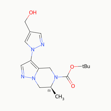 C[C@H]1Cn2ncc(-n3cc(CO)cn3)c2CN1C(=O)OC(C)(C)C